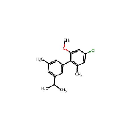 COc1cc(Cl)cc(C)c1-c1cc(C)cc(C(C)C)c1